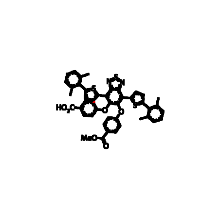 COC(=O)c1ccc(Oc2c(Oc3ccc(C(=O)O)cc3)c(-c3ccc(-c4c(C)cccc4C)s3)c3nsnc3c2-c2ccc(-c3c(C)cccc3C)s2)cc1